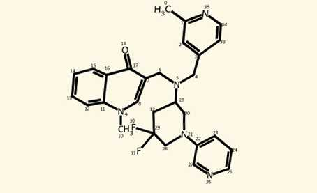 Cc1cc(CN(Cc2cn(C)c3ccccc3c2=O)C2CN(c3cccnc3)CC(F)(F)C2)ccn1